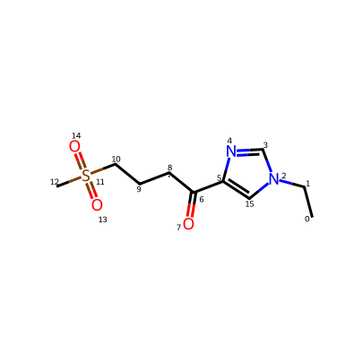 CCn1cnc(C(=O)[CH]CCS(C)(=O)=O)c1